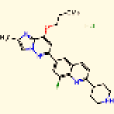 COCCOc1cc(-c2cc(F)c3nc(C4CCNCC4)ccc3c2)nn2cc(C)nc12.Cl